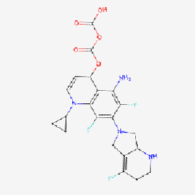 Nc1c(F)c(N2CC3=C(F)CCNC3C2)c(F)c2c1C(OC(=O)OC(=O)O)C=CN2C1CC1